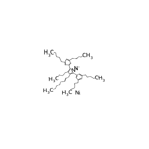 CCCCCCCCC1=C(c2cc(CCCCC)cc(CCCCC)c2)[N+](=[N-])C(c2cc(CCCCC)cc(CCCCC)c2)=C1CCCC.[Ni]